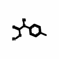 CCN(C(=O)OC(C)C)c1ccc(C)cc1